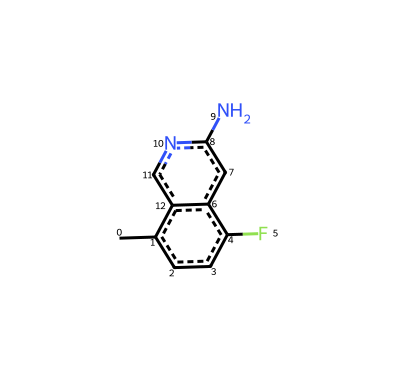 Cc1ccc(F)c2cc(N)ncc12